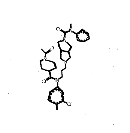 CC(=O)N1CCC(C(=O)N(CCCN2CC3CN(C(=O)N(C)c4ccccc4)CC3C2)c2ccc(C)c(Cl)c2)CC1